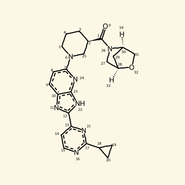 O=C([C@@H]1CCCN(c2ccc3nc(-c4ccnc(C5CC5)n4)[nH]c3n2)C1)N1C[C@H]2C[C@@H]1CO2